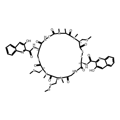 CSC[C@H]1C(=O)SC[C@@H](NC(=O)c2nc3ccccc3cc2O)C(=O)NCC(=O)N(C)[C@@H](CSSC)C(=O)N(C)[C@@H](CSC)C(=O)SC[C@@H](NC(=O)c2nc3ccccc3cc2O)C(=O)NCC(=O)N(C)C(C)C(=O)N1C